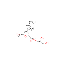 C(OCC1CO1)C1CO1.C=C(C)C(=O)O.C=C(C)C(=O)O.OCC(O)CO